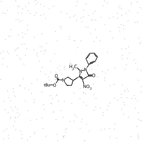 Cn1c(C2CCN(C(=O)OC(C)(C)C)C2)c([N+](=O)[O-])c(=O)n1-c1ccccc1